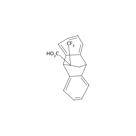 O=C(O)C1(C(F)(F)F)CC2c3ccccc3C1c1ccccc12